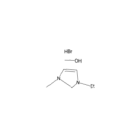 Br.CCN1C=CN(C)C1.CO